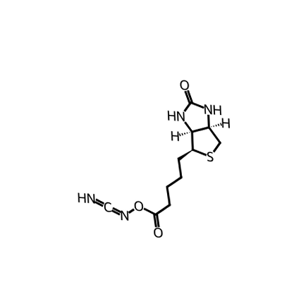 N=C=NOC(=O)CCCC[C@@H]1SC[C@@H]2NC(=O)N[C@@H]21